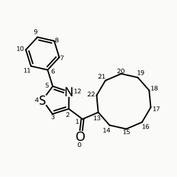 O=C(c1csc(-c2ccccc2)n1)C1CCCCCCCCC1